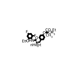 CCCCCCCN(Cc1ccc(OC(C)(C)C(=O)OCC)cc1)C(=O)Nc1c(F)cc(F)cc1OCC